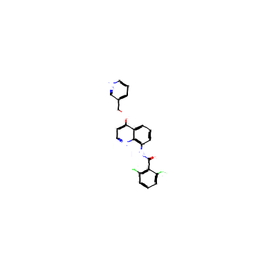 Cl.O=C(Nc1cccc2c(OCc3cccnc3)ccnc12)c1c(Cl)cccc1Cl